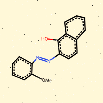 COc1ccccc1N=Nc1ccc2ccccc2c1O